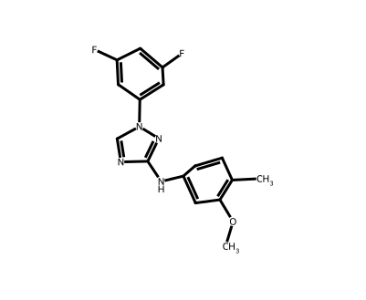 COc1cc(Nc2ncn(-c3cc(F)cc(F)c3)n2)ccc1C